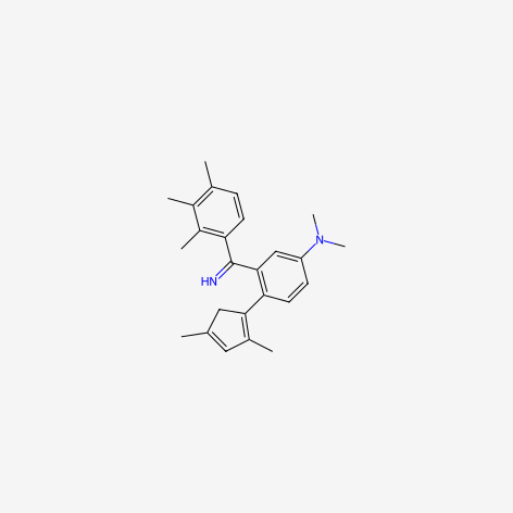 CC1=CC(C)=C(c2ccc(N(C)C)cc2C(=N)c2ccc(C)c(C)c2C)C1